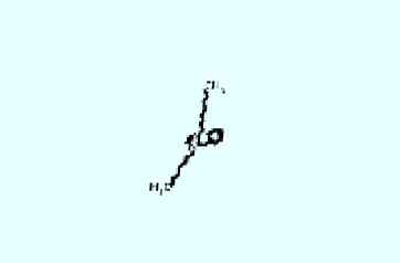 CCCCCCCCCn1cc[n+](CCCCCCCC)c1Cc1ccccc1